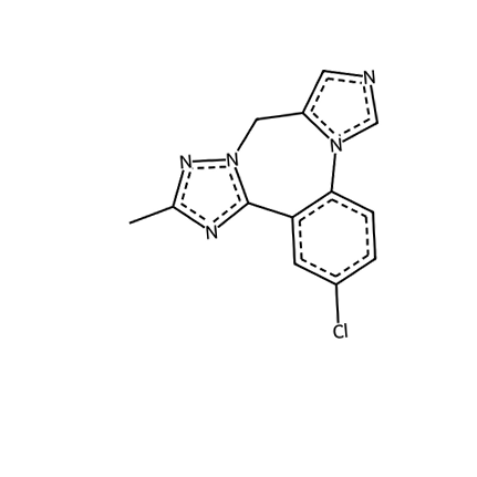 Cc1nc2n(n1)Cc1cncn1-c1ccc(Cl)cc1-2